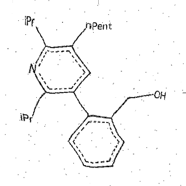 CCCCCc1cc(-c2ccccc2CO)c(C(C)C)nc1C(C)C